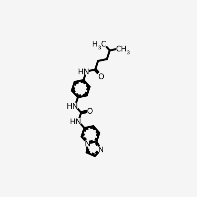 CC(C)CCC(=O)Nc1ccc(NC(=O)Nc2ccc3nccn3c2)cc1